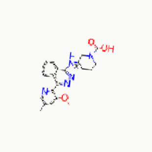 COc1cc(C)cnc1-c1nnc(N[C@@H]2CCCN(C(=O)O)C2)c2ccccc12